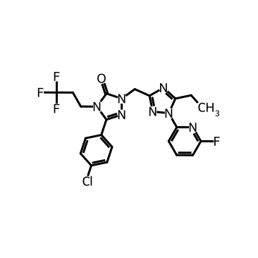 CCc1nc(Cn2nc(-c3ccc(Cl)cc3)n(CCC(F)(F)F)c2=O)nn1-c1cccc(F)n1